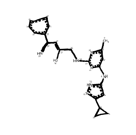 Cc1cc(Nc2cc(C3CC3)n[nH]2)nc(NC/C(O)=C/C(=N)c2ccccc2)n1